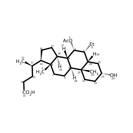 CC[C@H]1[C@@H](OC(C)=O)[C@@H]2[C@H](CC[C@]3(C)[C@@H]([C@H](C)CCC(=O)O)CC[C@@H]23)[C@@]2(C)CC[C@@H](O)C[C@@H]12